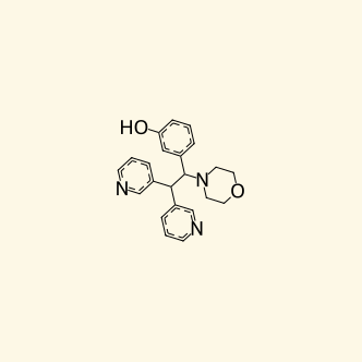 Oc1cccc(C(C(c2cccnc2)c2cccnc2)N2CCOCC2)c1